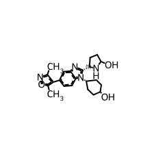 Cc1noc(C)c1-c1ccc2c(c1)nc([C@@H]1CCC(O)N1)n2[C@H]1CC[C@H](O)CC1